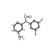 Cc1cc(C)cc(C(C=O)c2ccnc(N)c2)c1